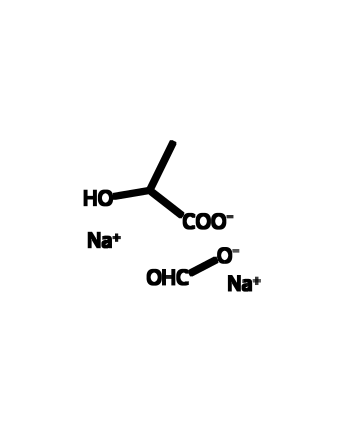 CC(O)C(=O)[O-].O=C[O-].[Na+].[Na+]